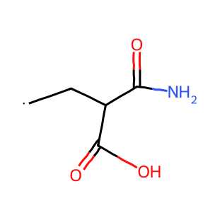 [CH2]CC(C(N)=O)C(=O)O